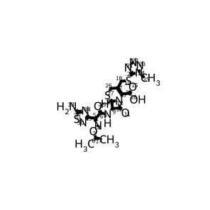 CC(C)ON=C(C(=O)NC1C(=O)N2C(C(=O)O)=C(CSc3nnnn3C)CS[C@@H]12)c1nsc(N)n1